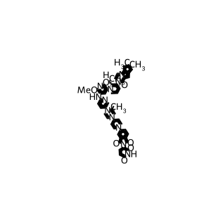 COc1ncc(N2CCC[C@@H](N3CCn4c(cc5c4CC(C)(C)C5)C3=O)[C@H]2C(C)O)cc1Nc1ccc(N2CCN(C3CCN(c4ccc5c(c4)C(=O)N(C4CCC(=O)NC4=O)C5=O)CC3)C[C@@H]2C)cn1